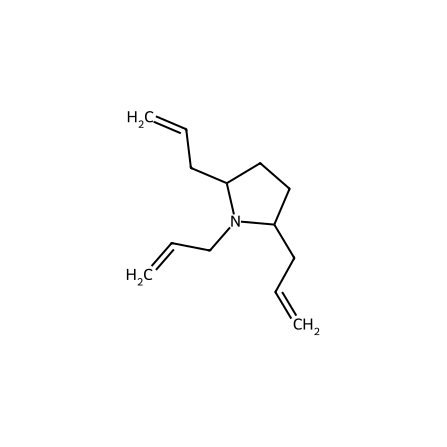 C=CCC1CCC(CC=C)N1CC=C